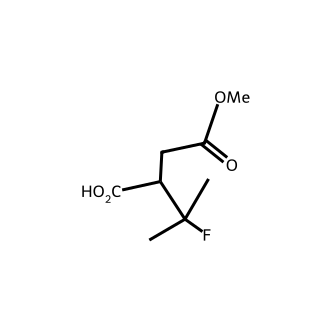 COC(=O)CC(C(=O)O)C(C)(C)F